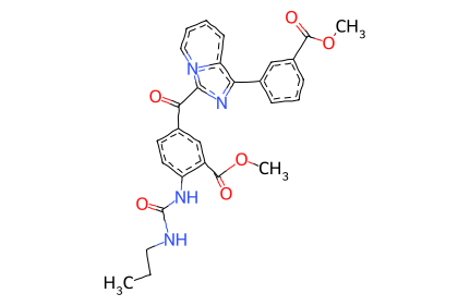 CCCNC(=O)Nc1ccc(C(=O)c2nc(-c3cccc(C(=O)OC)c3)c3ccccn23)cc1C(=O)OC